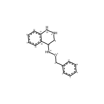 c1ccc(CONC2CNNc3ccccc32)cc1